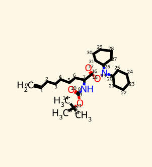 C=CCCCCCC(NC(=O)OC(C)(C)C)C(=O)ON(C1CCCCC1)C1CCCCC1